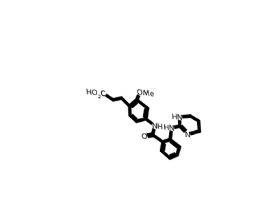 COc1cc(NC(=O)c2ccccc2NC2=NCCCN2)ccc1CCC(=O)O